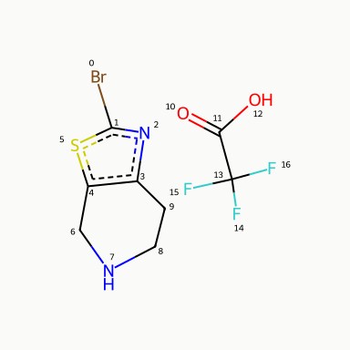 Brc1nc2c(s1)CNCC2.O=C(O)C(F)(F)F